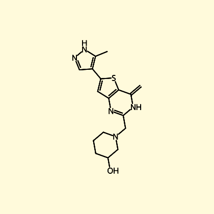 C=C1NC(CN2CCCC(O)C2)=Nc2cc(-c3cn[nH]c3C)sc21